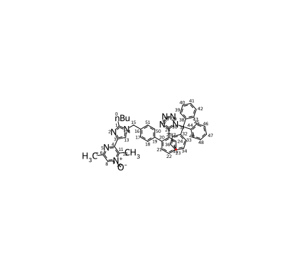 CCCCc1nc(-c2nc(C)c[n+]([O-])c2C)cn1Cc1ccc(-c2ccccc2-c2nnnn2C(c2ccccc2)(c2ccccc2)c2ccccc2)cc1